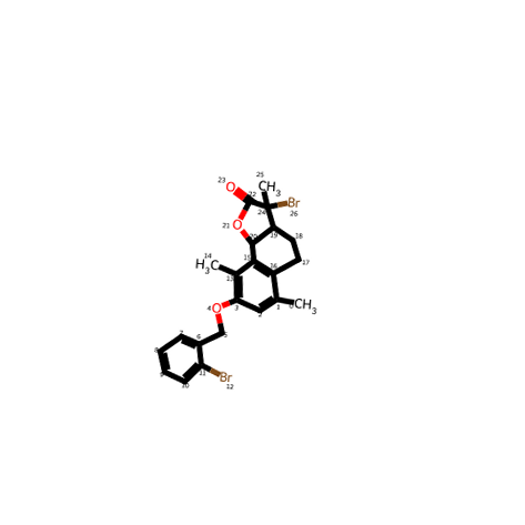 Cc1cc(OCc2ccccc2Br)c(C)c2c1CCC1C2OC(=O)C1(C)Br